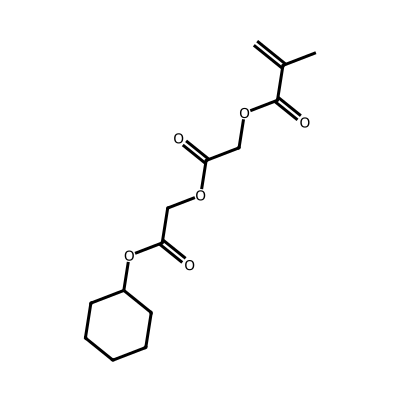 C=C(C)C(=O)OCC(=O)OCC(=O)OC1CCCCC1